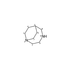 C1CN2CCC(CC2)CN1